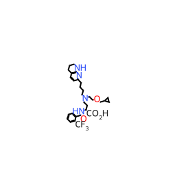 O=C(NC(CCN(CCCCc1ccc2c(n1)NCCC2)CCOCC1CC1)C(=O)O)c1ccccc1C(F)(F)F